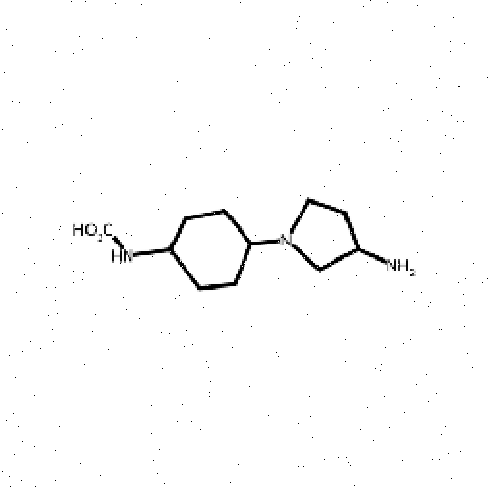 NC1CCN(C2CCC(NC(=O)O)CC2)C1